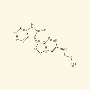 O=C1Nc2ccccc2/C1=C1\OCc2cc(NCCO)ccc21